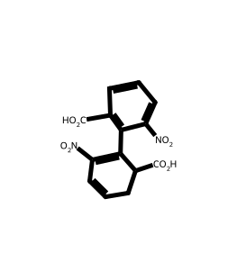 O=C(O)c1cccc([N+](=O)[O-])c1C1=C([N+](=O)[O-])C=CCC1C(=O)O